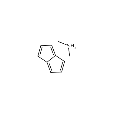 C1=CC2=CC=CC2=C1.C[SiH2]C